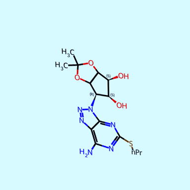 CCCSc1nc(N)c2nnn([C@H]3C4OC(C)(C)OC4[C@@H](O)[C@H]3O)c2n1